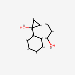 OC1(C2CCCCC2)[CH]C1.[CH2]CCO